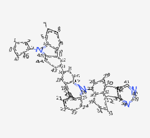 c1ccc(-n2c3ccccc3c3cc(-c4ccc5c(c4)c4ccccc4n5-c4ccc5c6c(cccc46)-c4ncncc4-5)ccc32)cc1